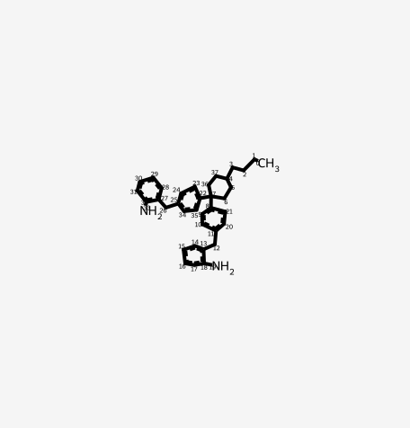 CCCCC1CCC(c2ccc(Cc3ccccc3N)cc2)(c2ccc(Cc3ccccc3N)cc2)CC1